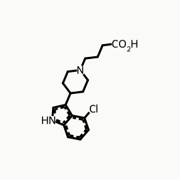 O=C(O)CCCN1CCC(c2c[nH]c3cccc(Cl)c23)CC1